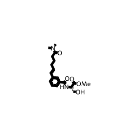 COC(=O)[C@H](CO)NC(=O)c1cccc(C=CCCCC(=O)N(C)C)c1